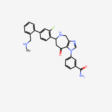 CC(C)(C)NCc1ccccc1-c1ccc(C2CC(=O)c3c(ncn3-c3cccc(C(N)=O)c3)CN2)c(F)c1